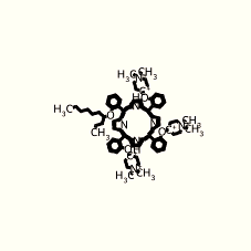 CCCCCCC(CCC)Oc1ccccc1-c1c2nc(c(-c3ccccc3O[C+]3CC[N+](C)(C)CC3)c3ccc([nH]3)c(-c3ccccc3O[C+]3CC[N+](C)(C)CC3)c3nc(c(-c4ccccc4O[C+]4CC[N+](C)(C)CC4)c4ccc1[nH]4)C=C3)C=C2